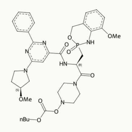 CCCCOC(=O)ON1CCN(C(=O)[C@H](CP2(=O)Nc3c(cccc3OC)CO2)NC(=O)c2cc(N3CC[C@H](OC)C3)nc(-c3ccccc3)n2)CC1